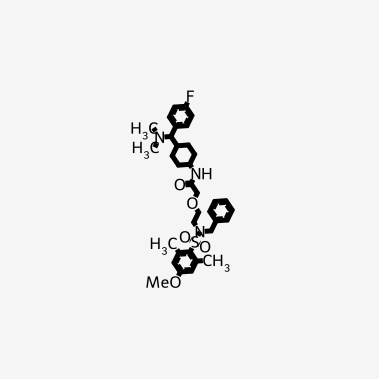 COc1cc(C)c(S(=O)(=O)N(CCOCC(=O)NC2CCC(C(c3ccc(F)cc3)N(C)C)CC2)Cc2ccccc2)c(C)c1